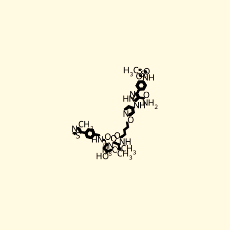 CCS(=O)(=O)Nc1ccc(-c2n[nH]c(Nc3ccnc(OCCCCC(=O)NC(C(=O)N4C[C@H](O)C[C@H]4C(=O)NCc4ccc(-c5scnc5C)cc4)C(C)(C)C)c3)c2C(N)=O)cc1